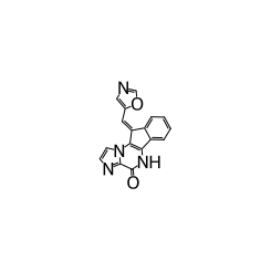 O=c1[nH]c2c3ccccc3c(=Cc3cnco3)c2n2ccnc12